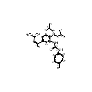 C/C(=C/C(=O)O)c1ccc(N(CC(C)C)CC(C)C)c(NC(=O)Nc2ccc(C)cc2)c1